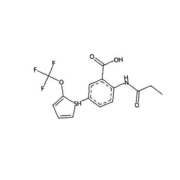 CCC(=O)Nc1ccc([SH]2C=CC=C2OC(F)(F)F)cc1C(=O)O